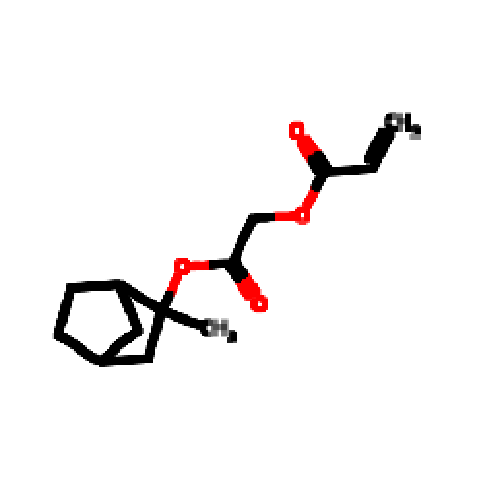 C=CC(=O)OCC(=O)OC1(C)CC2CCC1C2